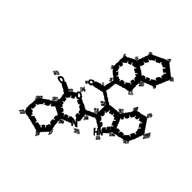 O=C(c1ccc2ccccc2c1)c1c(-c2nc3ccccc3c(=O)o2)[nH]c2ccccc12